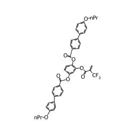 C=C(C(=O)Oc1cc(OC(=O)c2ccc(-c3ccc(OCCC)cc3)cc2)ccc1OC(=O)c1ccc(-c2ccc(OCCC)cc2)cc1)C(F)(F)F